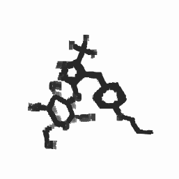 CCCSc1ccc(Cc2c(O[C@@H]3[C@@H](O)[C@H](O)[C@@H](CO)O[C@H]3O)n[nH]c2C(F)(F)F)cc1